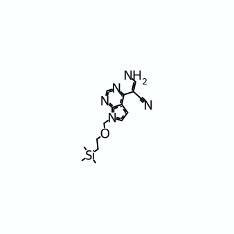 C[Si](C)(C)CCOCn1ccc2c(/C(C#N)=C\N)ncnc21